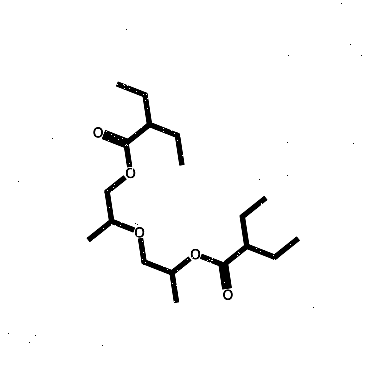 CCC(CC)C(=O)OCC(C)OCC(C)OC(=O)C(CC)CC